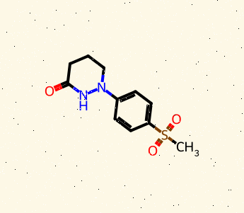 CS(=O)(=O)c1ccc(N2CCCC(=O)N2)cc1